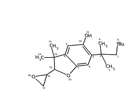 CC(C)(C)CC(C)(C)c1cc2c(cc1O)C(C)(C)C(C1CO1)O2